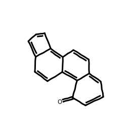 O=C1C=CC=c2ccc3c4c(ccc3c21)=CC=C4